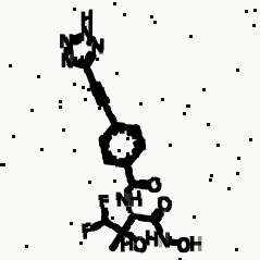 CC(O)(C(F)F)[C@H](NC(=O)c1ccc(C#Cc2nn[nH]n2)cc1)C(=O)NO